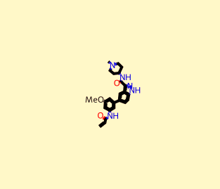 C=CC(=O)Nc1cc(OC)cc(-c2ccc3[nH]nc(C(=O)NC4CCN(C)CC4)c3c2)c1